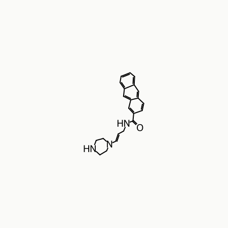 O=C(NCC=CN1CCNCC1)c1ccc2cc3ccccc3cc2c1